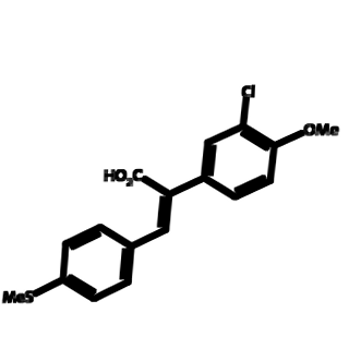 COc1ccc(C(=Cc2ccc(SC)cc2)C(=O)O)cc1Cl